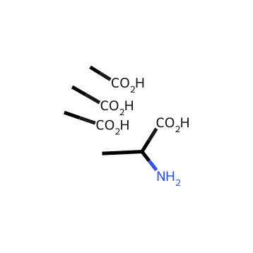 CC(=O)O.CC(=O)O.CC(=O)O.CC(N)C(=O)O